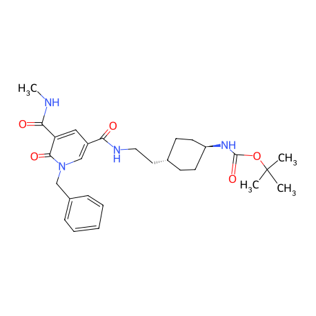 CNC(=O)c1cc(C(=O)NCC[C@H]2CC[C@H](NC(=O)OC(C)(C)C)CC2)cn(Cc2ccccc2)c1=O